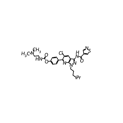 CC(C)CCCn1nc(NC(=O)c2cnsc2)c2cc(Cl)c(-c3ccc(OC(=O)NCCN(C)C)cc3)nc21